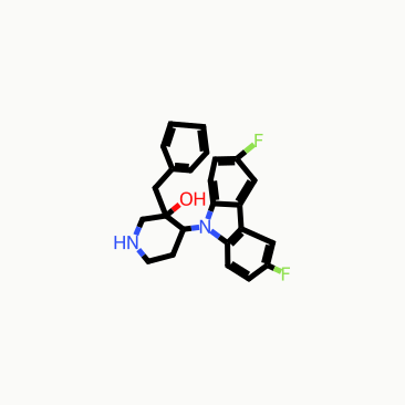 OC1(Cc2ccccc2)CNCCC1n1c2ccc(F)cc2c2cc(F)ccc21